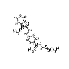 CN(CCSS(=O)(=O)O)c1ccc(/C=C/c2oc3ccccc3[n+]2C)cc1